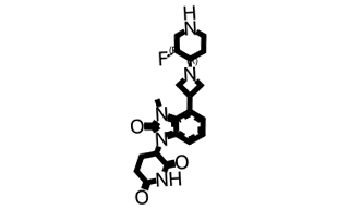 Cn1c(=O)n(C2CCC(=O)NC2=O)c2cccc(C3CN([C@@H]4CCNC[C@H]4F)C3)c21